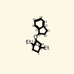 CCC12CCC(CC)(O1)C(OC1CCc3ccccc31)C2